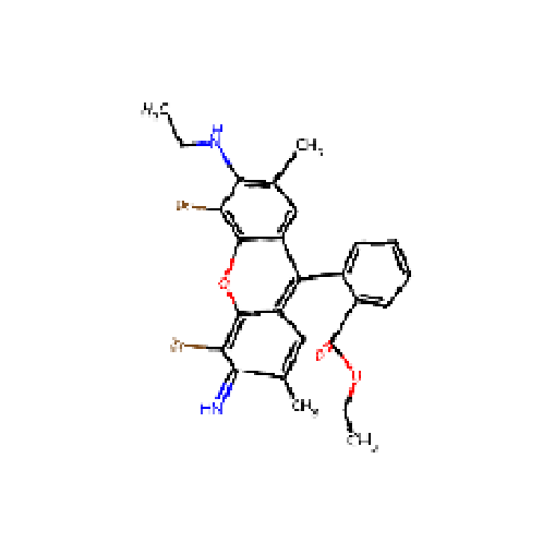 CCNc1c(C)cc2c(-c3ccccc3C(=O)OCC)c3cc(C)c(=N)c(Br)c-3oc2c1Br